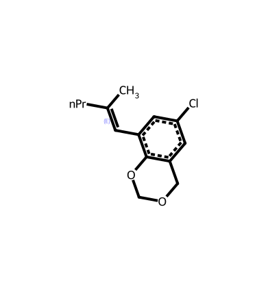 CCC/C(C)=C/c1cc(Cl)cc2c1OCOC2